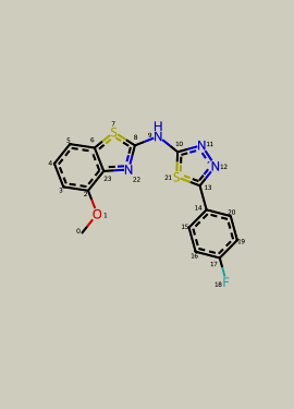 COc1cccc2sc(Nc3nnc(-c4ccc(F)cc4)s3)nc12